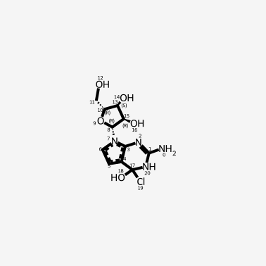 NC1=Nc2c(ccn2[C@@H]2O[C@H](CO)[C@@H](O)[C@H]2O)C(O)(Cl)N1